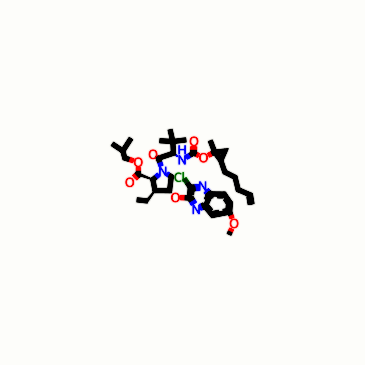 C=CCCCC1CC1(C)OC(=O)N[C@H](C(=O)N1C[C@H](Oc2nc3cc(OC)ccc3nc2Cl)[C@@H](CC)[C@H]1C(=O)OCC(C)C)C(C)(C)C